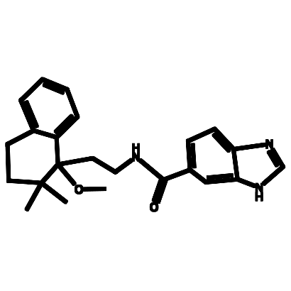 COC1(CCNC(=O)c2ccc3nc[nH]c3c2)c2ccccc2CCC1(C)C